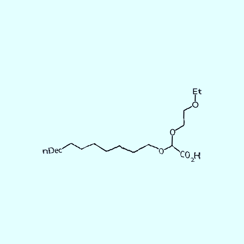 CCCCCCCCCCCCCCCCCOC(OCCOCC)C(=O)O